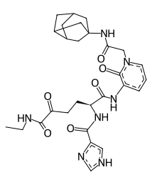 CCNC(=O)C(=O)CC[C@H](NC(=O)c1c[nH]cn1)C(=O)Nc1cccn(CC(=O)NC23CC4CC(C2)C(C4)C3)c1=O